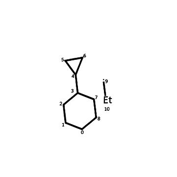 C1CCC(C2CC2)CC1.[CH2]CC